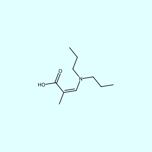 CCCN(C=C(C)C(=O)O)CCC